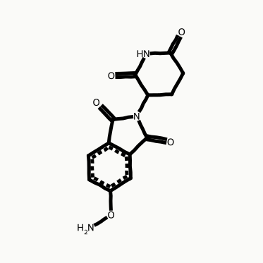 NOc1ccc2c(c1)C(=O)N(C1CCC(=O)NC1=O)C2=O